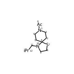 CC(=O)N1CCC2(CC1)SCCN2CC(C)C